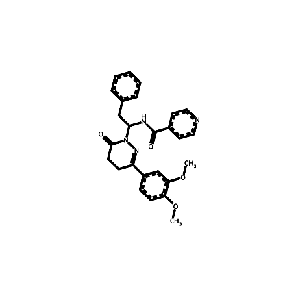 COc1ccc(C2=NN(C(Cc3ccccc3)NC(=O)c3ccncc3)C(=O)CC2)cc1OC